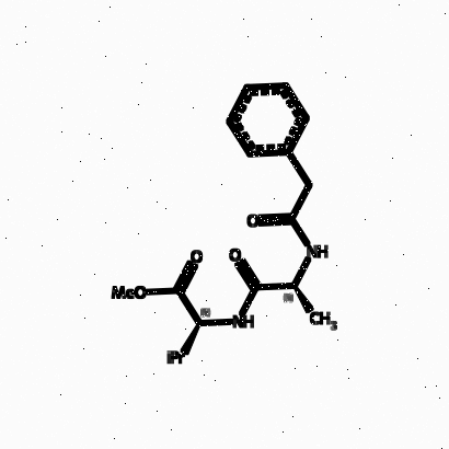 COC(=O)[C@@H](NC(=O)[C@H](C)NC(=O)Cc1ccccc1)C(C)C